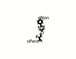 CCCCCCCCCc1ccc(-c2ncc(OCCC(F)C(C)CCCCC)cn2)cc1